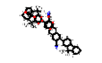 CC1(C)c2ccccc2-c2ccc(-c3cc4c(cc3C#N)C3c5cc(-c6ccc7c(c6)C(C)(C)c6ccccc6-7)c(C#N)cc5C4c4cc(C#N)c(-c5ccc6c(c5)C(C)(C)c5ccccc5-6)cc43)cc21